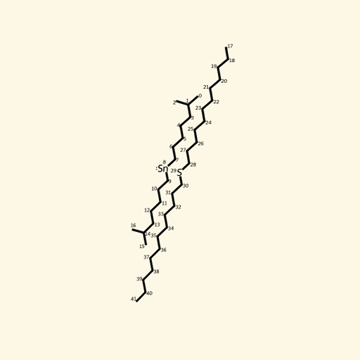 CC(C)CCCC[CH2][Sn][CH2]CCCCC(C)C.CCCCCCCCCCCCSCCCCCCCCCCCC